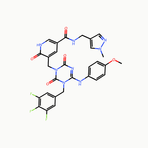 COc1ccc(Nc2nc(=O)n(Cc3cc(C(=O)NCc4cnn(C)c4)c[nH]c3=O)c(=O)n2Cc2cc(F)c(F)c(F)c2)cc1